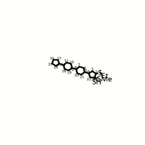 CCSC1CC(C2CCC(C3CCC(C4CCCC4)CC3)CC2)CC1(S)SC